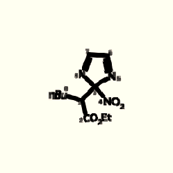 CCCCC(C(=O)OCC)C1([N+](=O)[O-])N=CC=N1